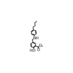 CCCCc1ccc(NCc2ccc(O)c(C(=O)OC)c2)cc1